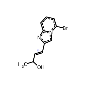 CC(O)/C=C/c1cn2c(Br)cccc2n1